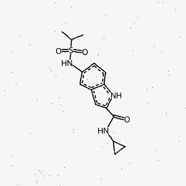 CC(C)S(=O)(=O)Nc1ccc2[nH]c(C(=O)NC3CC3)cc2c1